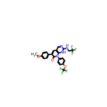 COc1ccc(-c2cc3c(n(-c4ccc(OC(F)(F)F)cc4)c2=O)NC(NCC(F)(F)F)N=C3)cc1